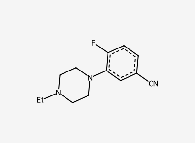 CCN1CCN(c2cc(C#N)ccc2F)CC1